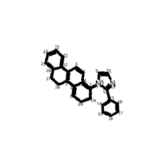 C1=c2c3c(ccc2=C(n2ccnc2-c2ccccc2)CC1)-c1ccccc1CC3